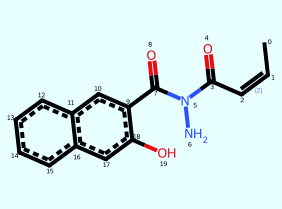 C/C=C\C(=O)N(N)C(=O)c1cc2ccccc2cc1O